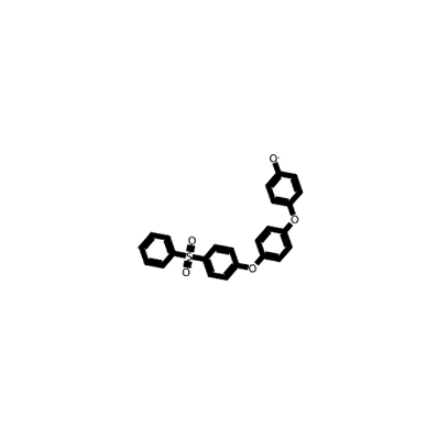 [O]c1ccc(Oc2ccc(Oc3ccc(S(=O)(=O)c4cc[c]cc4)cc3)cc2)cc1